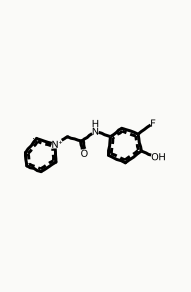 O=C(C[n+]1[c]cccc1)Nc1ccc(O)c(F)c1